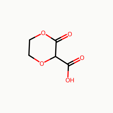 O=C(O)C1OCCOC1=O